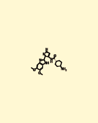 COc1cc2nc(-c3n[nH]cc3NC(=O)[C@H]3CC[C@H](N)CC3)[nH]c2cc1OC